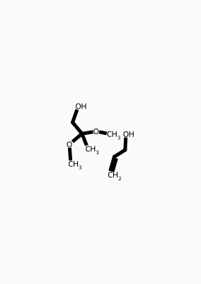 C=CCO.COC(C)(CO)OC